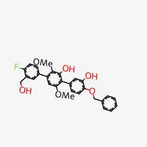 COc1cc(-c2ccc(F)c(CO)c2)c(OC)c(O)c1-c1ccc(OCc2ccccc2)c(O)c1